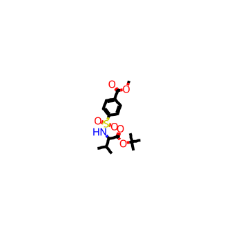 COC(=O)c1ccc(S(=O)(=O)NC(C(=O)OC(C)(C)C)C(C)C)cc1